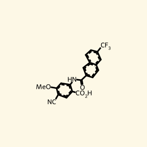 COc1cc(NC(=O)c2ccc3cc(C(F)(F)F)ccc3c2)c(C(=O)O)cc1C#N